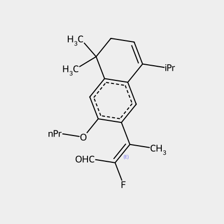 CCCOc1cc2c(cc1/C(C)=C(/F)C=O)C(C(C)C)=CCC2(C)C